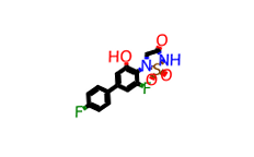 O=C1CN(c2c(O)cc(-c3ccc(F)cc3)cc2F)S(=O)(=O)N1